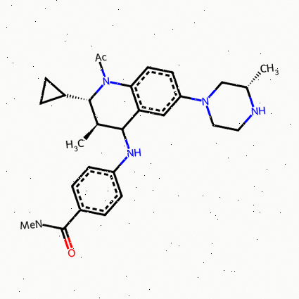 CNC(=O)c1ccc(NC2c3cc(N4CCN[C@@H](C)C4)ccc3N(C(C)=O)[C@@H](C3CC3)[C@@H]2C)cc1